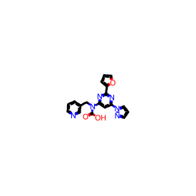 O=C(O)N(Cc1cccnc1)c1cc(-n2cccn2)nc(-c2ccco2)n1